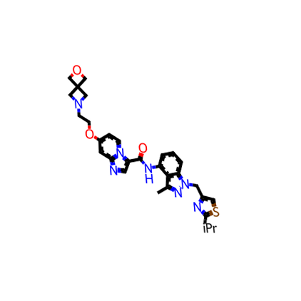 Cc1nn(Cc2csc(C(C)C)n2)c2cccc(NC(=O)c3cnc4cc(OCCN5CC6(COC6)C5)ccn34)c12